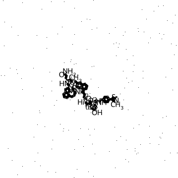 Cc1ncsc1-c1ccc(CNC(=O)[C@@H]2C[C@@H](O)CN2C(=O)[C@@H](NC(=O)CCCc2cccc3cc(CO[C@@H](C)[C@H](CCC(N)=O)NC(=O)[C@@H]4Cc5cccc6c5N4C(=O)[C@@H](N)CC6)ccc23)C(C)(C)C)cc1